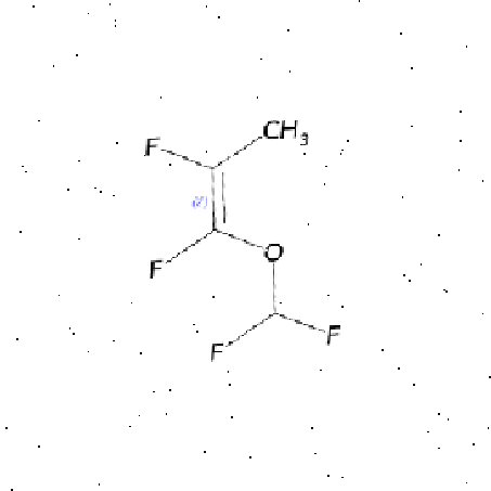 C/C(F)=C(/F)OC(F)F